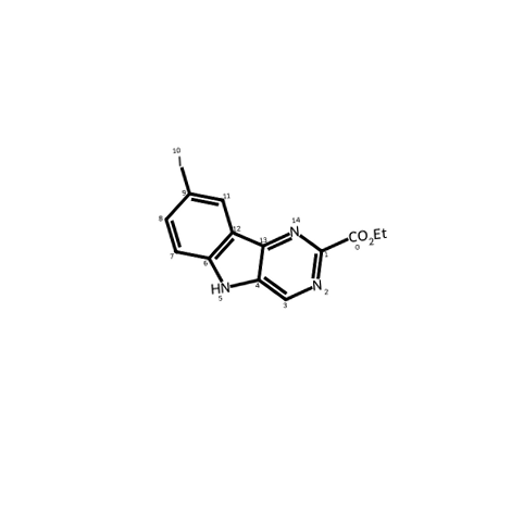 CCOC(=O)c1ncc2[nH]c3ccc(I)cc3c2n1